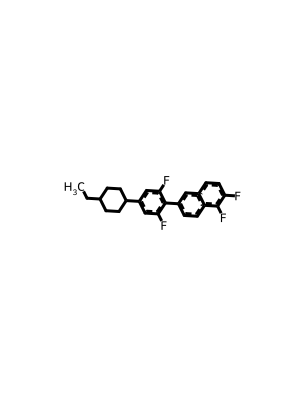 CCC1CCC(c2cc(F)c(-c3ccc4c(F)c(F)ccc4c3)c(F)c2)CC1